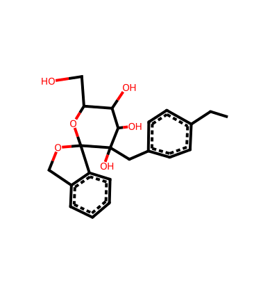 CCc1ccc(CC2(O)C(O)C(O)C(CO)OC23OCc2ccccc23)cc1